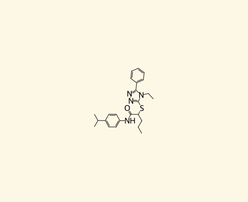 CCCC(Sc1nnc(-c2ccccc2)n1CC)C(=O)Nc1ccc(C(C)C)cc1